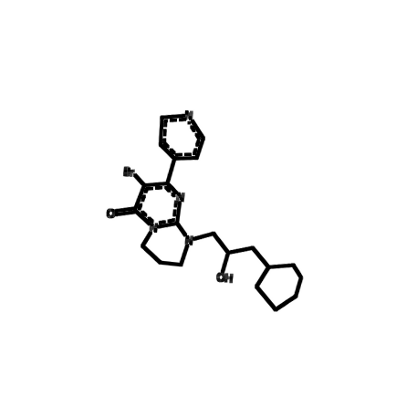 O=c1c(Br)c(-c2ccncc2)nc2n1CCCN2CC(O)CC1CCCCC1